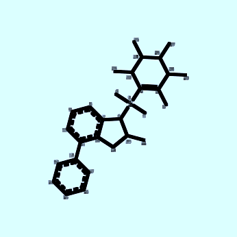 CC1=C(S(C)(C)C2c3cccc(-c4ccccc4)c3CC2C)C(C)C(C)C(C)C1C